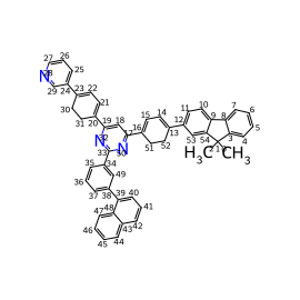 CC1(C)c2ccccc2-c2ccc(C3=CC=C(c4cc(C5=CC=C(c6cccnc6)CC5)nc(-c5cccc(-c6cccc7ccccc67)c5)n4)CC3)cc21